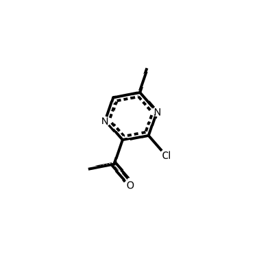 CC(=O)c1ncc(C)nc1Cl